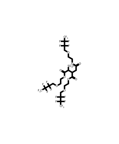 O=C(CC(C(=O)OCCOCC(F)(F)C(F)(F)C(F)(F)F)C(C(=O)OCCOCC(F)(F)C(F)(F)C(F)(F)F)S(=O)(=O)O)OCCOCC(F)(F)C(F)(F)C(F)(F)F